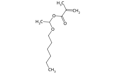 C=C(C)C(=O)OC(C)OCCCCCC